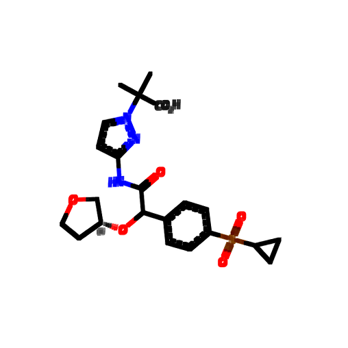 CC(C)(C(=O)O)n1ccc(NC(=O)C(O[C@@H]2CCOC2)c2ccc(S(=O)(=O)C3CC3)cc2)n1